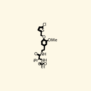 CCS(=O)(=O)N[C@H](C(=O)NCCc1ccc(OCc2ccc(Cl)s2)c(OC)c1)C(C)C